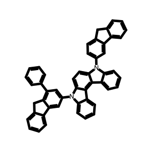 c1ccc(-c2cc(-n3c4ccccc4c4c5c6ccccc6n(-c6ccc7c(c6)-c6ccccc6C7)c5ccc43)cc3c2Cc2ccccc2-3)cc1